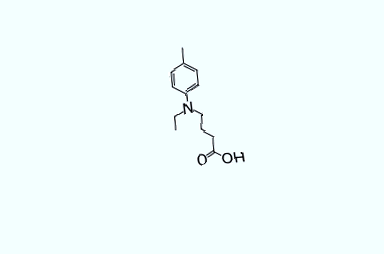 CCN(CCCC(=O)O)c1ccc(C)cc1